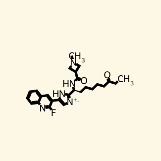 CCC(=O)CCCCC[C@H](NC(=O)C1CN(C)C1)C1=[N+]C=C(c2cc3ccccc3nc2F)N1